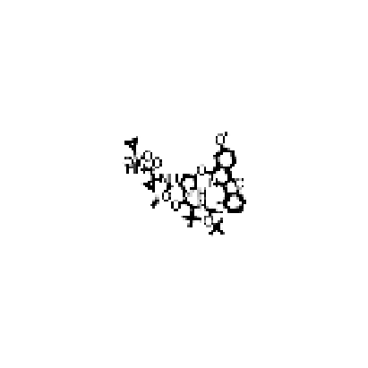 C=C[C@@H]1C[C@]1(NC(=O)[C@@H]1C[C@@H](Oc2nc3c4ccccc4oc3c3ccc(OC)cc23)CN1C(=O)[C@@H](NC(=O)OC(C)(C)C)C(C)(C)C)C(=O)NS(=O)(=O)C1CC1